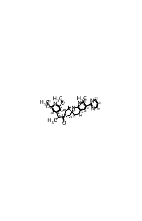 COc1cc([C@H](C)C(=O)N2CC[C@@]3(CCc4cc(-c5ncccn5)c(C)nc4N3)C2)cc(OC)n1